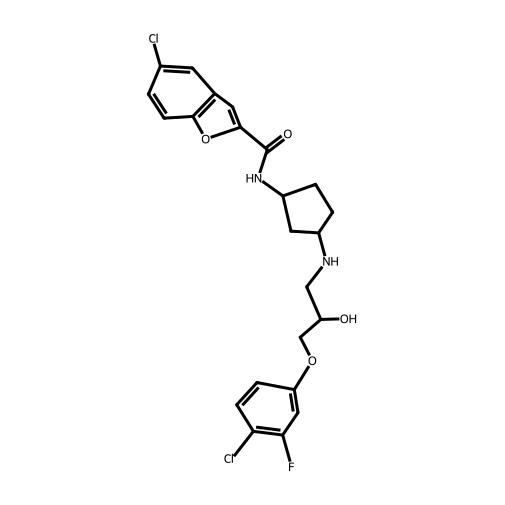 O=C(NC1CCC(NCC(O)COc2ccc(Cl)c(F)c2)C1)c1cc2cc(Cl)ccc2o1